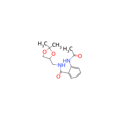 CC(=O)Nc1ccccc1C(=O)NCC1COC(C)(C)O1